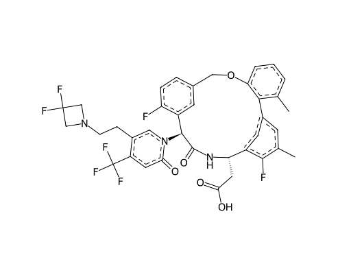 Cc1cc2cc(c1F)[C@H](CC(=O)O)NC(=O)[C@@H](n1cc(CCN3CC(F)(F)C3)c(C(F)(F)F)cc1=O)c1cc(ccc1F)COc1cccc(C)c1-2